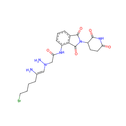 N/C(=C\N(N)CC(=O)Nc1cccc2c1C(=O)N(C1CCC(=O)NC1=O)C2=O)CCCCBr